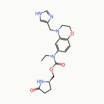 CCN(C(=O)OC[C@H]1CCC(=O)N1)c1ccc2c(c1)N(Cc1c[nH]cn1)CCO2